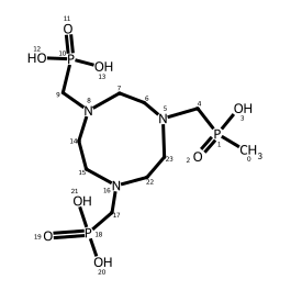 CP(=O)(O)CN1CCN(CP(=O)(O)O)CCN(CP(=O)(O)O)CC1